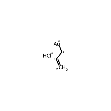 C=C[CH2][Au].Cl